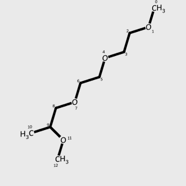 COCCOCCOCC(C)OC